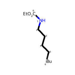 CCOC(=O)NCCCCC(C)CC